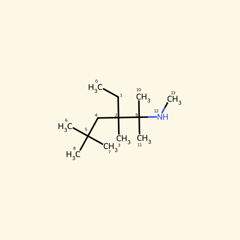 CCC(C)(CC(C)(C)C)C(C)(C)NC